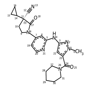 Cn1nc(Nc2cc(N3CC[C@@](C#N)(C4CC4)C3=O)ccn2)cc1C(=O)N1CCCCC1